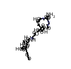 COCCOCCCNC(=O)C(CC(=O)O)NC(=O)C(CC(=O)N/N=C(\C)CCC(=O)OCCNC1=C2CC(C)CC(OC)C(O)C(C)/C=C(\C)C(OC(N)=O)C(OC)/C=C\C=C(/C)C(=O)NC(=CC1=O)C2=O)NC(C)=O